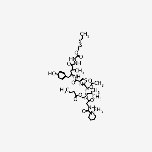 CCCC(=O)OCN(C(=O)CNC(=O)C1CCCCN1C)[C@H](C[C@@H](OC(C)=O)c1nc(C(=O)N[C@@H](Cc2ccc(O)cc2)C[C@H](C)C(=O)NNC(=O)OCCSSCC)cs1)C(C)C